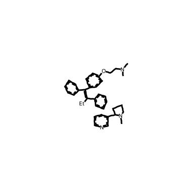 CC/C(=C(\c1ccccc1)c1ccc(OCCN(C)C)cc1)c1ccccc1.CN1CCCC1c1cccnc1